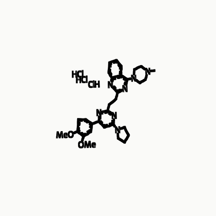 COc1ccc(-c2cc(N3CCCC3)nc(CCc3nc(N4CCN(C)CC4)c4ccccc4n3)n2)cc1OC.Cl.Cl.Cl